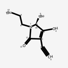 C#CC1=C(O)[C@H](C(C)(C)C)N(CCC(C)(C)C)C1=O